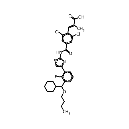 CCCCOC(c1cccc(-c2csc(NC(=O)c3cc(Cl)c(C=C(C)C(=O)O)c(Cl)c3)n2)c1F)C1CCCCC1